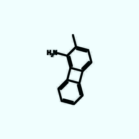 Cc1ccc2c(c1N)-c1ccccc1-2